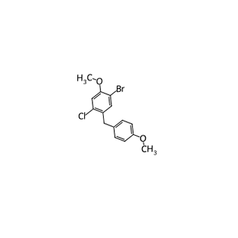 COc1ccc(Cc2cc(Br)c(OC)cc2Cl)cc1